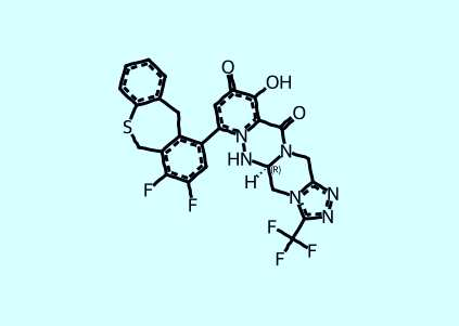 O=C1c2c(O)c(=O)cc(-c3cc(F)c(F)c4c3Cc3ccccc3SC4)n2N[C@@H]2Cn3c(nnc3C(F)(F)F)CN12